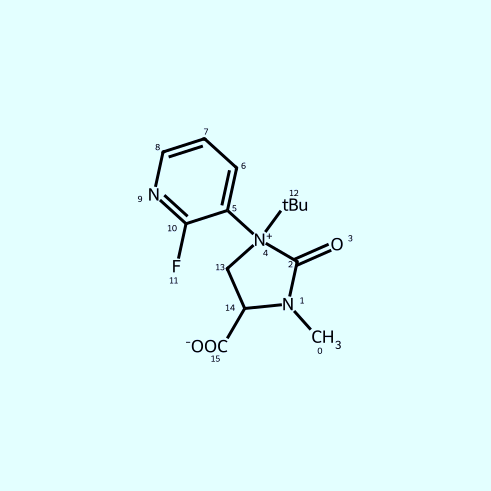 CN1C(=O)[N+](c2cccnc2F)(C(C)(C)C)CC1C(=O)[O-]